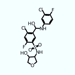 O=S(=O)(NC1COCC1O)c1cc(C(O)Nc2ccc(F)c(Cl)c2)c(Cl)cc1F